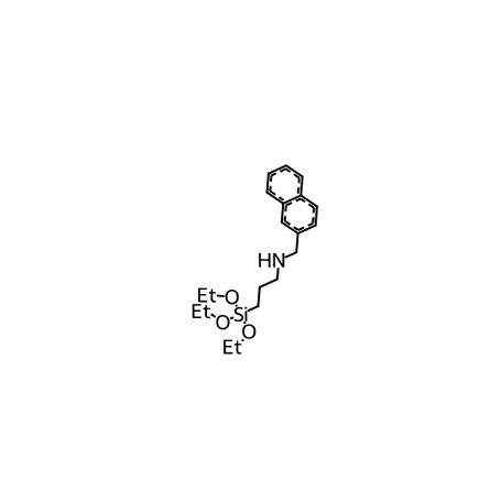 CCO[Si](CCCNCc1ccc2ccccc2c1)(OCC)OCC